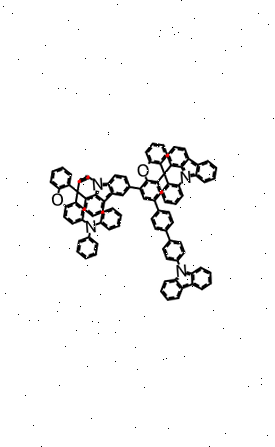 c1ccc(N(c2ccccc2)c2ccc3c(c2)C2(c4ccccc4O3)c3ccccc3-n3c4ccc(-c5cc(-c6ccc(-c7ccc(-n8c9ccccc9c9ccccc98)cc7)cc6)cc6c5Oc5ccccc5C65c6ccccc6-n6c7ccccc7c7cccc5c76)cc4c4cccc2c43)cc1